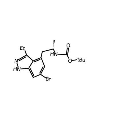 CCc1n[nH]c2cc(Br)cc(C[C@H](C)NC(=O)OC(C)(C)C)c12